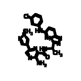 C[C@@H](NC(=O)c1nc(-c2cnn(C)c2)cnc1N)c1nnc2ccc(Nc3cccc(Cl)c3)nn12